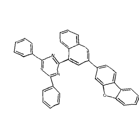 c1ccc(-c2nc(-c3ccccc3)nc(-c3cc(-c4ccc5c(c4)oc4ccccc45)cc4ccccc34)n2)cc1